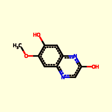 COc1cc2ncc(O)nc2cc1O